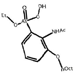 CCCCCCCCOc1cccc([As](=O)(OO)OCC)c1NC(C)=O